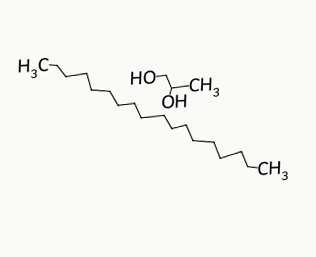 CC(O)CO.CCCCCCCCCCCCCCCCCC